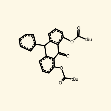 CC(C)(C)C(=O)Oc1cccc2c1C(=O)c1c(OC(=O)C(C)(C)C)cccc1C2c1ccccc1